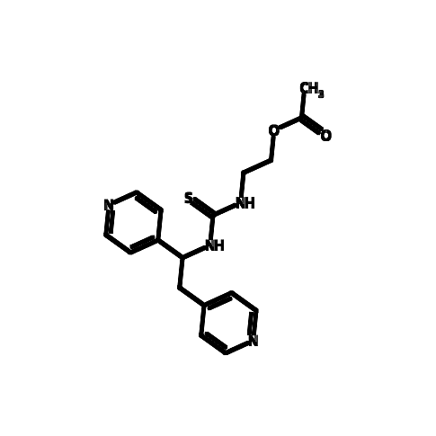 CC(=O)OCCNC(=S)NC(Cc1ccncc1)c1ccncc1